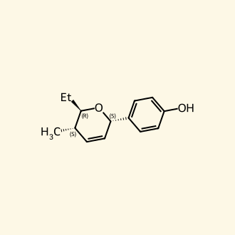 CC[C@H]1O[C@H](c2ccc(O)cc2)C=C[C@@H]1C